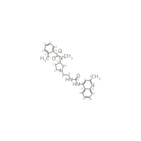 Cc1cc(NC(=O)NCCN2CCC(N(C)S(=O)(=O)c3ccccc3C)C2)c2ccccc2n1